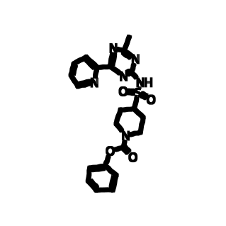 Cc1nc(NS(=O)(=O)C2CCN(C(=O)Oc3ccccc3)CC2)nc(-c2ccccn2)n1